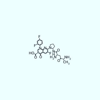 CC(N)C(=O)CC(N)C(=O)NC1CCCN1c1nc2c(cc1F)c(=O)c(C(=O)O)cn2-c1ccc(F)cc1F